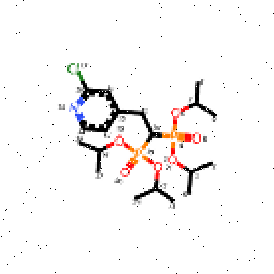 CC(C)OP(=O)(OC(C)C)C(Cc1ccnc(Cl)c1)P(=O)(OC(C)C)OC(C)C